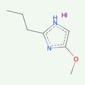 CCCc1nc(OC)c[nH]1.I